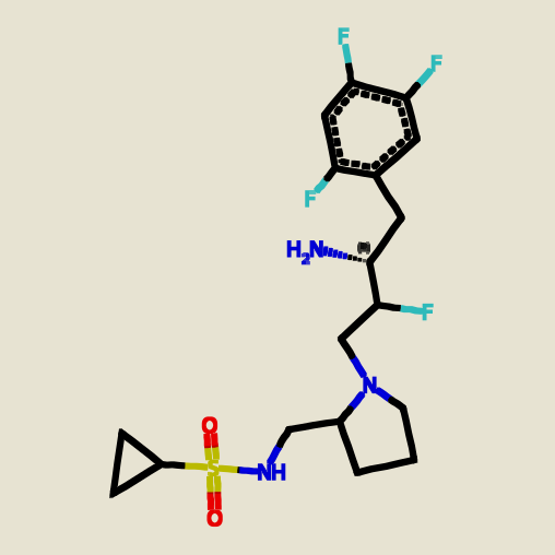 N[C@H](Cc1cc(F)c(F)cc1F)C(F)CN1CCCC1CNS(=O)(=O)C1CC1